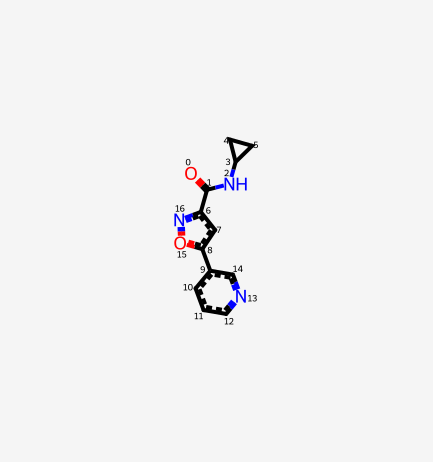 O=C(NC1CC1)c1cc(-c2cccnc2)on1